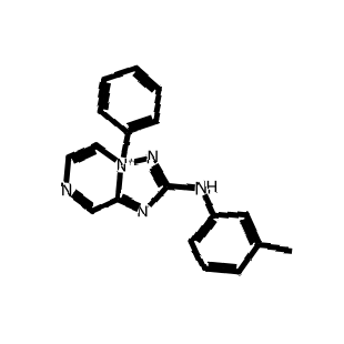 Cc1cccc(NC2=N[N+]3(c4ccccc4)C=CN=CC3=N2)c1